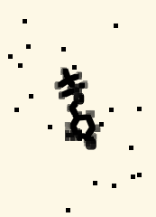 CC(C)(C)[Si](C)(C)OCC1CCC(=O)NC1